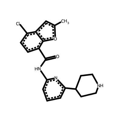 Cc1cc2c(Cl)ccc(C(=O)Nc3cccc(C4CCNCC4)n3)c2o1